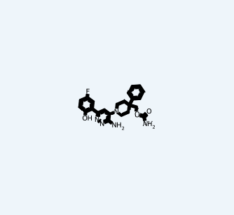 NC(=O)OCC1(c2ccccc2)CCN(c2cc(-c3cc(F)ccc3O)nnc2N)CC1